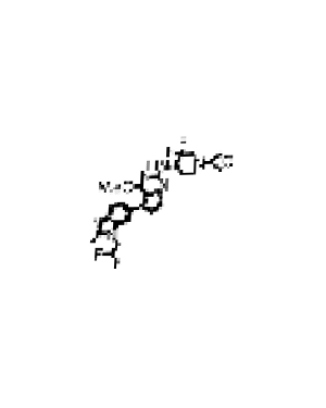 COc1nc(N[C@H]2CCN(C3COC3)CC2(F)F)nn2ccc(-c3ccc4nc(C)n(CC(F)F)c4c3)c12